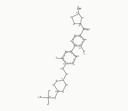 C=C(c1ccc(-c2cc(C)c(OCC3CCN(CC(C)(C)F)CC3)cn2)c(F)c1)N1CCC(O)C1